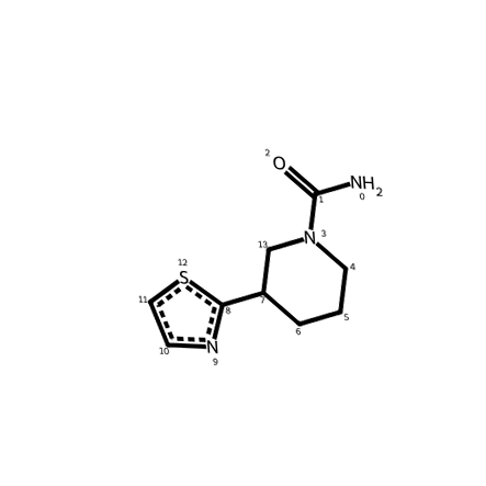 NC(=O)N1CCCC(c2nccs2)C1